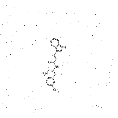 Cc1cccc(C[C@@H](CN)NC(=O)C=Cc2c[nH]c3ncccc23)c1